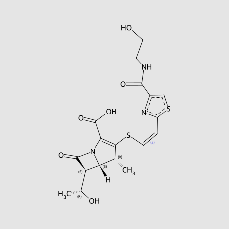 C[C@@H](O)[C@H]1C(=O)N2C(C(=O)O)=C(S/C=C\c3nc(C(=O)NCCO)cs3)[C@H](C)[C@H]12